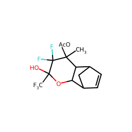 CC(=O)OC1(C)C2C3C=CC(C3)C2OC(O)(C(F)(F)F)C1(F)F